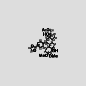 COC1(OC)CCC2=C3C(CC[C@@]2(O)C1)C1CC[C@@](O)(COC(C)=O)[C@@]1(C)C[C@@H]3c1ccc(C2OCCO2)cc1